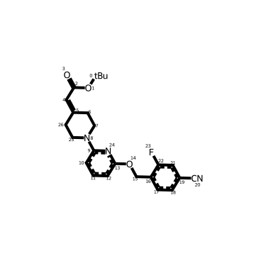 CC(C)(C)OC(=O)C=C1CCN(c2cccc(OCc3ccc(C#N)cc3F)n2)CC1